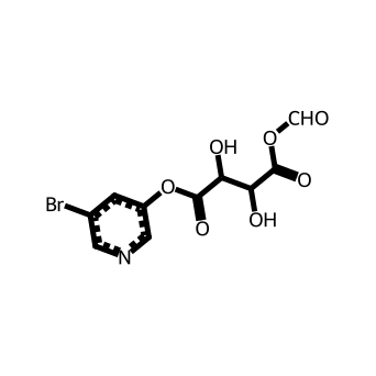 O=COC(=O)C(O)C(O)C(=O)Oc1cncc(Br)c1